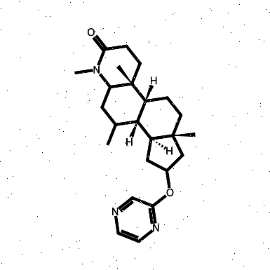 CC1CC2N(C)C(=O)CC[C@]2(C)[C@@H]2CC[C@]3(C)CC(Oc4cnccn4)C[C@H]3[C@H]12